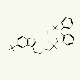 C[C@H](Cc1c[nH]c2ccc(C(F)(F)F)cc12)NCC(F)(F)CO[Si](c1ccccc1)(c1ccccc1)C(C)(C)C